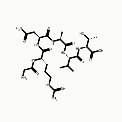 CC(C)[C@H](NC(=O)[C@H](C)NC(=O)[C@H](CC(N)=O)NC(=O)[C@H](CCCNC(=N)N)NC(=O)CN)C(=O)N[C@H](C(=O)O)[C@@H](C)O